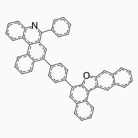 c1ccc(-c2nc3ccccc3c3c2cc(-c2ccc(-c4cc5ccccc5c5c4oc4cc6ccccc6cc45)cc2)c2ccccc23)cc1